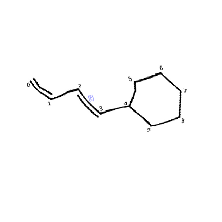 C=C/C=C/C1CCCCC1